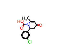 CC1=CC(=O)CC(c2cccc(Cl)c2)N1C(=O)O